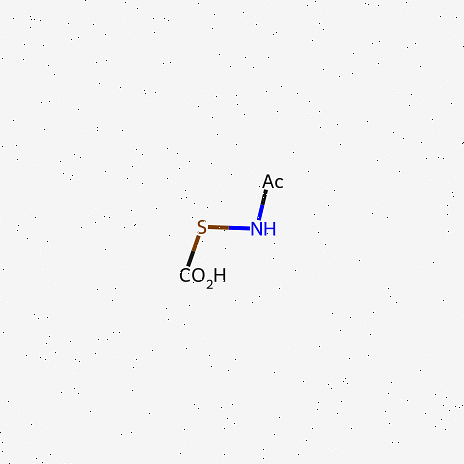 CC(=O)NSC(=O)O